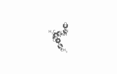 CCC/C=C(/C)c1cnc(Nc2cnn(C3CCOCC3)c2)nc1NC1CCC(N2CCN(C)CC2)CC1